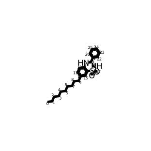 CCCCCCCCCCc1ccc2c(c1)S(=O)(=O)NC(c1ccccc1)N2